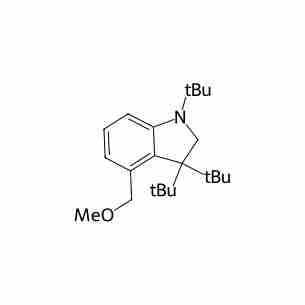 COCc1cccc2c1C(C(C)(C)C)(C(C)(C)C)CN2C(C)(C)C